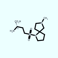 CN1CCC2(CCCN2S(=O)(=O)CC[C@H](N)C(=O)O)C1